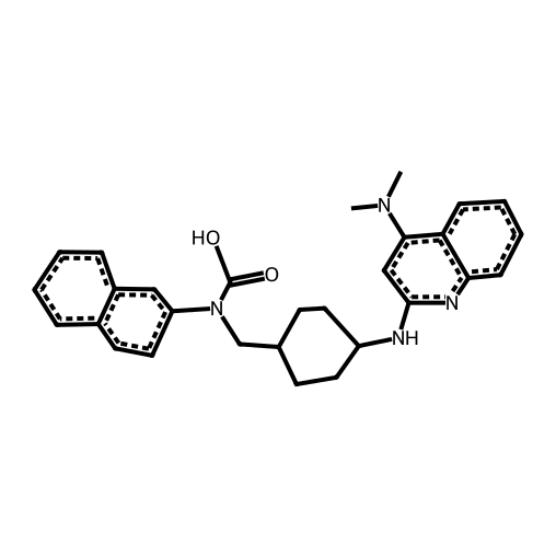 CN(C)c1cc(NC2CCC(CN(C(=O)O)c3ccc4ccccc4c3)CC2)nc2ccccc12